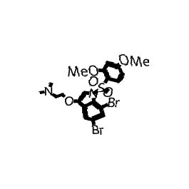 COc1ccc(S(=O)(=O)n2cc(OCCN(C)C)c3cc(Br)cc(Br)c32)c(OC)c1